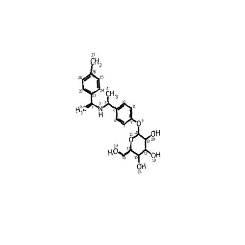 C=C(N[C@@H](C)c1ccc(OC2OC(CO)C(O)C(O)C2O)cc1)c1ccc(C)cc1